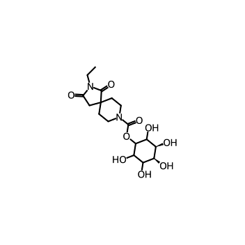 CCN1C(=O)CC2(CCN(C(=O)OC3C(O)C(O)[C@H](O)[C@H](O)C3O)CC2)C1=O